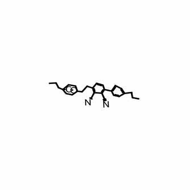 CCCc1ccc(-c2ccc(CCC34CCC(CCC)(CC3)CC4)c(C#N)c2C#N)cc1